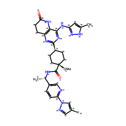 CO[C@]1(C(=O)N[C@@H](C)c2ccc(-n3cc(F)cn3)nc2)CC[C@H](c2nc3c(c(Nc4cc(C)[nH]n4)n2)NC(=O)CC3)CC1